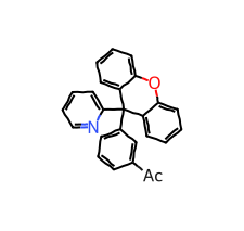 CC(=O)c1cccc(C2(c3ccccn3)c3ccccc3Oc3ccccc32)c1